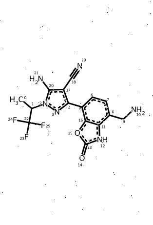 CC(n1nc(-c2ccc(CN)c3[nH]c(=O)oc23)c(C#N)c1N)C(F)(F)F